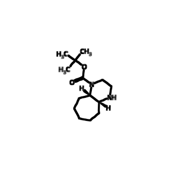 CC(C)(C)OC(=O)N1CCN[C@@H]2CCCCC[C@@H]21